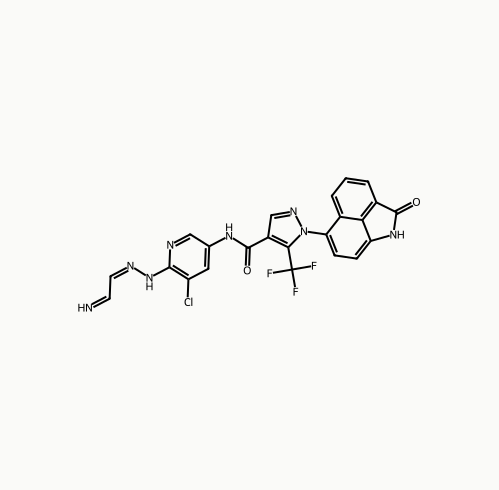 N=C/C=N\Nc1ncc(NC(=O)c2cnn(-c3ccc4c5c(cccc35)C(=O)N4)c2C(F)(F)F)cc1Cl